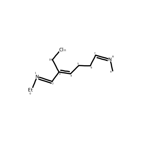 CC/N=C/C(=C/CC/C=N\C)CCl